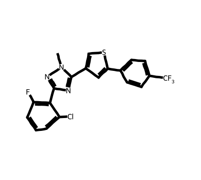 Cn1nc(-c2c(F)cccc2Cl)nc1-c1csc(-c2ccc(C(F)(F)F)cc2)c1